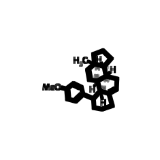 COc1ccc(C2CCCC3=CC[C@@H]4[C@H](C=C[C@]5(C)CCC[C@@H]45)[C@H]32)cc1